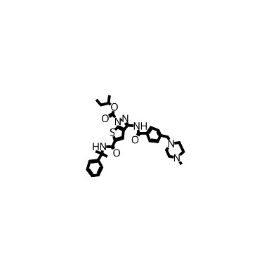 CCC(C)OC(=O)n1nc(NC(=O)c2ccc(CN3CCN(C)CC3)cc2)c2cc(C(=O)NC(C)(C)c3ccccc3)sc21